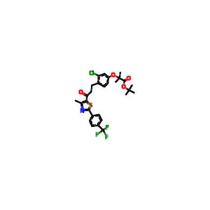 Cc1nc(-c2ccc(C(F)(F)F)cc2)sc1C(=O)CCc1ccc(OC(C)(C)C(=O)OC(C)(C)C)cc1Cl